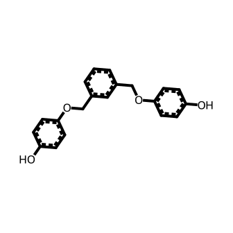 Oc1ccc(OCc2cccc(COc3ccc(O)cc3)c2)cc1